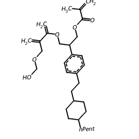 C=C(C)C(=O)OCC(COC(=C)C(=C)COCO)c1ccc(CCC2CCC(CCCCC)CC2)cc1